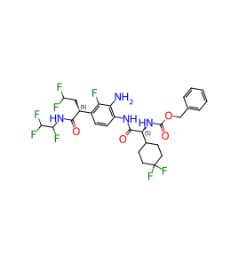 Nc1c(NC(=O)[C@@H](NC(=O)OCc2ccccc2)C2CCC(F)(F)CC2)ccc([C@H](CC(F)F)C(=O)NC(F)C(F)F)c1F